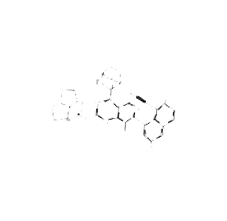 [2H]C#Cc1c(F)ccc2cc(O)cc(-c3ncc4c(N5CC6CCC5CN6)nc(OC([2H])([2H])[C@@]56CCCN5C[C@H](F)C6)nc4c3F)c12